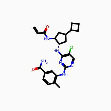 C=CC(=O)N[C@H]1CC(C2CCC2)C[C@@H]1Nc1nc(Nc2cc(C(N)=O)ccc2C)ncc1Cl